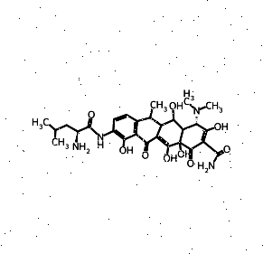 CC(C)C[C@H](N)C(=O)Nc1ccc2c(c1O)C(=O)C1=C(O)C3(O)C(=O)C(C(N)=O)=C(O)[C@@H](N(C)C)C3C(O)C1C2C